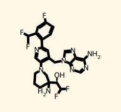 Nc1ncnc2c1ncn2Cc1cc(-c2ccc(F)cc2C(F)F)ncc1N1CCCC(N)([C@@H](O)C(F)F)C1